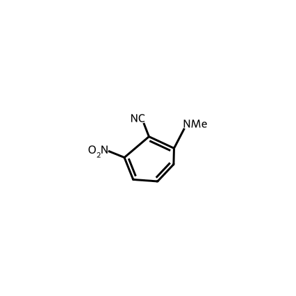 CNc1cccc([N+](=O)[O-])c1C#N